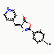 CC(C)(C)c1ccc(C2=N/C(=C/c3ccncc3)C(=O)O2)cc1